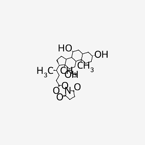 C[C@H](CCC(=O)ON1C(=O)CCC1=O)[C@H]1CCC2C3C(C[C@H](O)[C@@]21C)[C@@]1(C)CC[C@@H](O)CC1C[C@H]3O